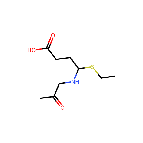 CCSC(CCC(=O)O)NCC(C)=O